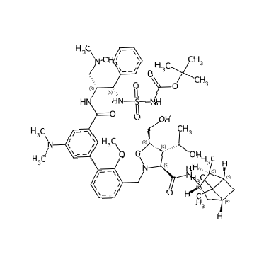 COc1c(CN2O[C@@H](CO)[C@H](C(C)O)[C@H]2C(=O)N[C@H]2C[C@H]3C[C@@H]([C@@H]2C)C3(C)C)cccc1-c1cc(C(=O)N[C@H](CN(C)C)[C@@H](NS(=O)(=O)NC(=O)OC(C)(C)C)c2ccccc2)cc(N(C)C)c1